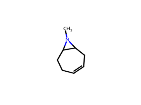 CN1C2CC=CCCC21